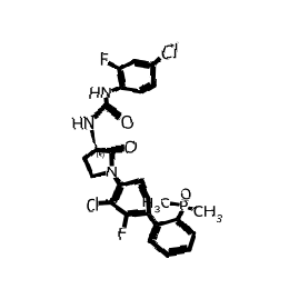 CP(C)(=O)c1ccccc1-c1ccc(N2CC[C@@H](NC(=O)Nc3ccc(Cl)cc3F)C2=O)c(Cl)c1F